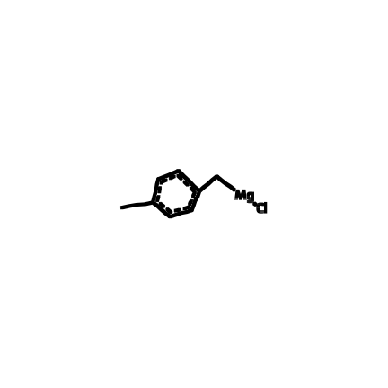 Cc1ccc([CH2][Mg][Cl])cc1